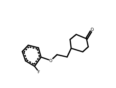 O=C1CCC(CCOc2ccccc2F)CC1